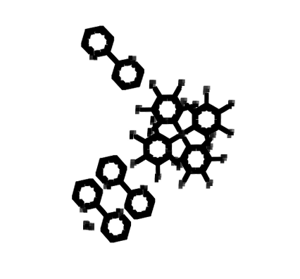 Fc1c(F)c(F)c([B-](c2c(F)c(F)c(F)c(F)c2F)(c2c(F)c(F)c(F)c(F)c2F)c2c(F)c(F)c(F)c(F)c2F)c(F)c1F.[Ru].c1ccc(-c2ccccn2)nc1.c1ccc(-c2ccccn2)nc1.c1ccc(-c2ccccn2)nc1